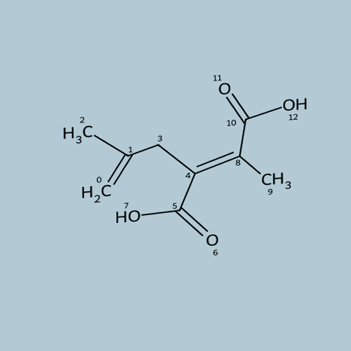 C=C(C)C/C(C(=O)O)=C(/C)C(=O)O